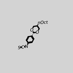 CCCCCCCC[C@H]1CO[C@H](c2ccc(N=C=S)cc2)OC1